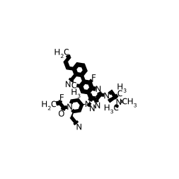 C=C/C=C\c1cccc(-c2c(C)cc3c(nc(N4CC(C)(N(C)C)C4)c4nnn([C@H]5CCN(C(=O)C(=C)F)[C@H](CC#N)C5)c43)c2F)c1C#N